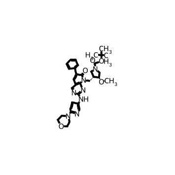 CO[C@@H]1CN(C(=O)OC(C)(C)C)C[C@H]1Cn1c(=O)c(-c2ccccc2)cc2cnc(Nc3ccc(N4CCOCC4)nc3)nc21